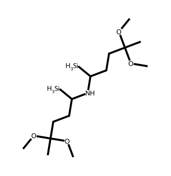 COC(C)(CCC([SiH3])NC([SiH3])CCC(C)(OC)OC)OC